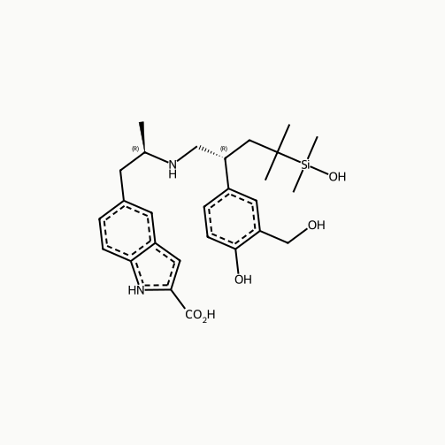 C[C@H](Cc1ccc2[nH]c(C(=O)O)cc2c1)NC[C@H](CC(C)(C)[Si](C)(C)O)c1ccc(O)c(CO)c1